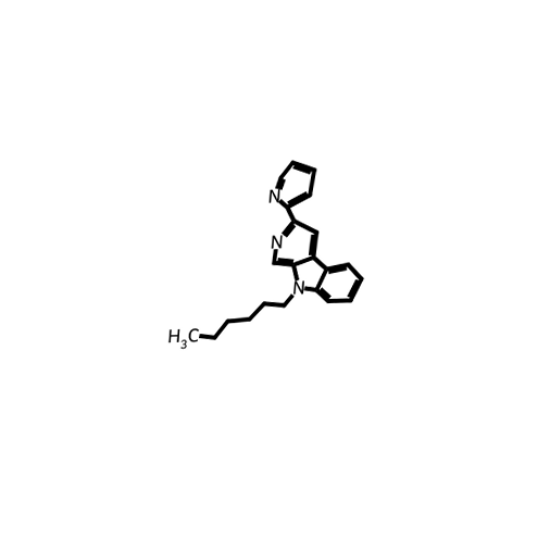 CCCCCCn1c2ccccc2c2cc(-c3ccccn3)ncc21